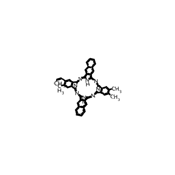 C/C=C\c1cc2c(cc1C)-c1nc-2nc2[nH]c(nc3nc(nc4[nH]c(n1)c1cc5ccccc5cc41)-c1cc(C)c(C)cc1-3)c1cc3ccccc3cc21